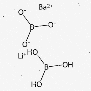 OB(O)O.[Ba+2].[Li+].[O-]B([O-])[O-]